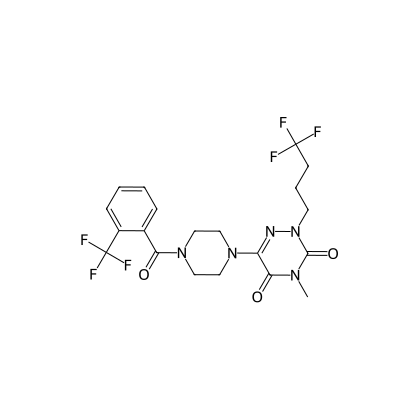 Cn1c(=O)c(N2CCN(C(=O)c3ccccc3C(F)(F)F)CC2)nn(CCCC(F)(F)F)c1=O